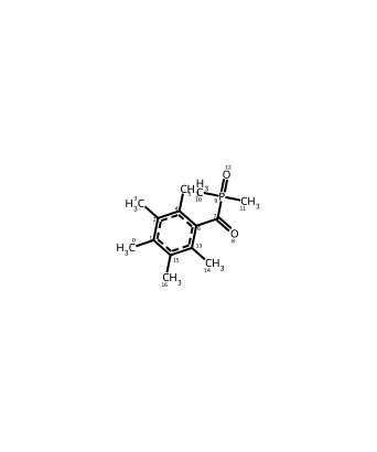 Cc1c(C)c(C)c(C(=O)P(C)(C)=O)c(C)c1C